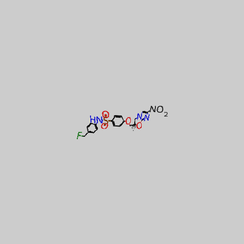 C[C@]1(COc2ccc(S(=O)(=O)Nc3ccc(CF)cc3)cc2)Cn2cc([N+](=O)[O-])nc2O1